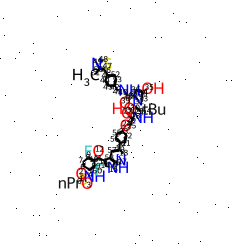 CCCS(=O)(=O)Nc1ccc(F)c(C(=O)c2c[nH]c3ncc(-c4ccc(OCC(=O)N[C@H](C(O)N5C[C@H](O)C[C@H]5C(=O)NCc5ccc(-c6scnc6C)cc5)C(C)(C)C)cc4)cc23)c1F